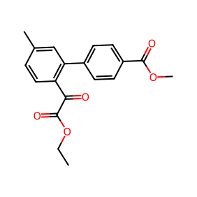 CCOC(=O)C(=O)c1ccc(C)cc1-c1ccc(C(=O)OC)cc1